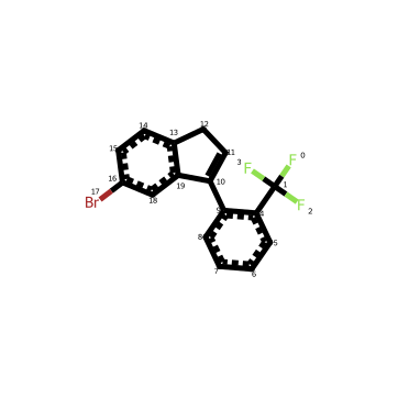 FC(F)(F)c1ccccc1C1=CCc2ccc(Br)cc21